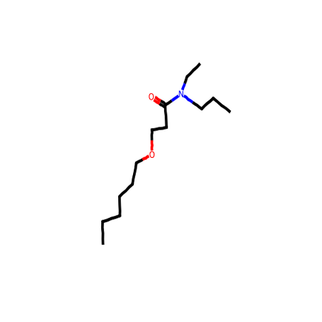 CCCCCCOCCC(=O)N(CC)CCC